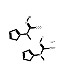 CCN=C(C(=O)[O-])N(C)C1=CC=CC1.CCN=C(C(=O)[O-])N(C)C1=CC=CC1.[Ni+2]